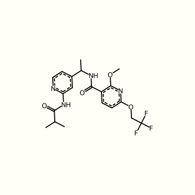 COc1nc(OCC(F)(F)F)ccc1C(=O)NC(C)c1ccnc(NC(=O)C(C)C)c1